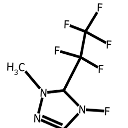 CN1N=CN(F)C1C(F)(F)C(F)(F)F